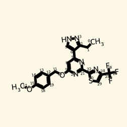 CCc1n[nH]cc1-c1cc(OCc2ccc(OC)cc2)nc(-c2nc(C(F)(F)F)cs2)n1